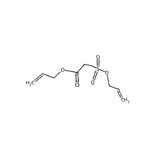 C=CCOC(=O)CS(=O)(=O)OCC=C